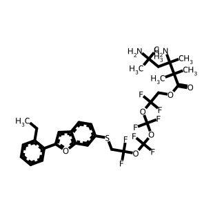 CCc1ccccc1-c1cc2ccc(SCC(F)(F)OC(F)(F)OC(F)(F)OC(F)(F)COC(=O)C(C)(C)C(C)(N)CC(C)(C)N)cc2o1